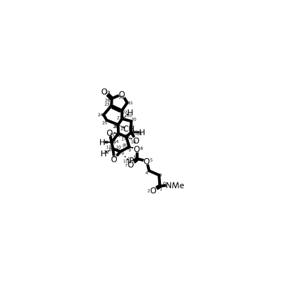 CNC(=O)CCOC(=O)O[C@@H]1[C@@]2(C(C)C)O[C@H]2[C@@H]2O[C@]23[C@]12O[C@H]2C[C@@H]1C2=C(CC[C@@]13C)C(=O)OC2